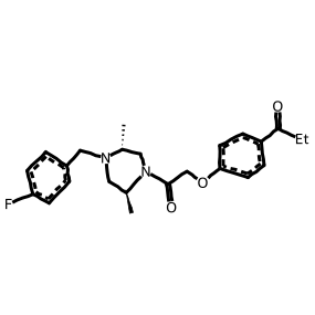 CCC(=O)c1ccc(OCC(=O)N2C[C@@H](C)N(Cc3ccc(F)cc3)C[C@@H]2C)cc1